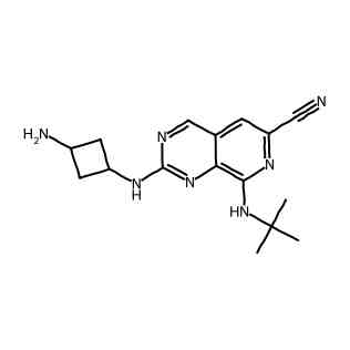 CC(C)(C)Nc1nc(C#N)cc2cnc(NC3CC(N)C3)nc12